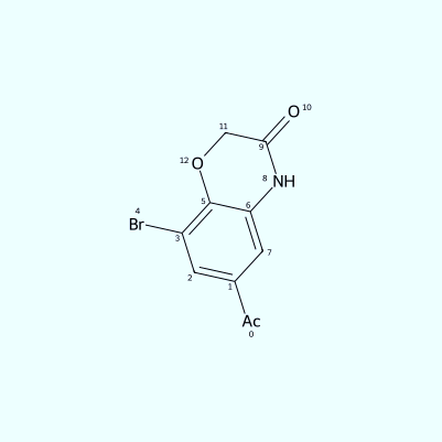 CC(=O)c1cc(Br)c2c(c1)NC(=O)CO2